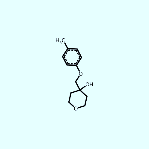 Cc1ccc(OCC2(O)CCOCC2)cc1